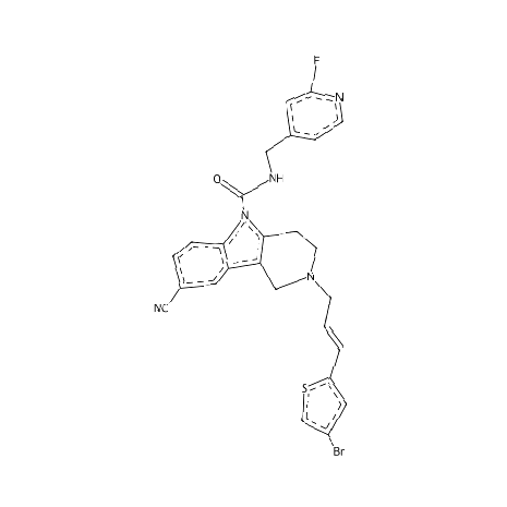 N#Cc1ccc2c(c1)c1c(n2C(=O)NCc2ccnc(F)c2)CCN(C/C=C/c2cc(Br)cs2)C1